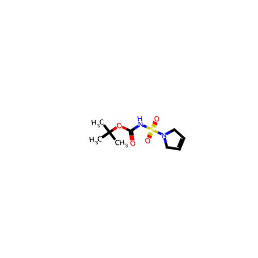 CC(C)(C)OC(=O)NS(=O)(=O)N1CC=CC1